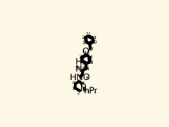 CCCN1CCCC(NC(=O)C(N)Cc2ccc(OCc3ccccc3)cc2)C1